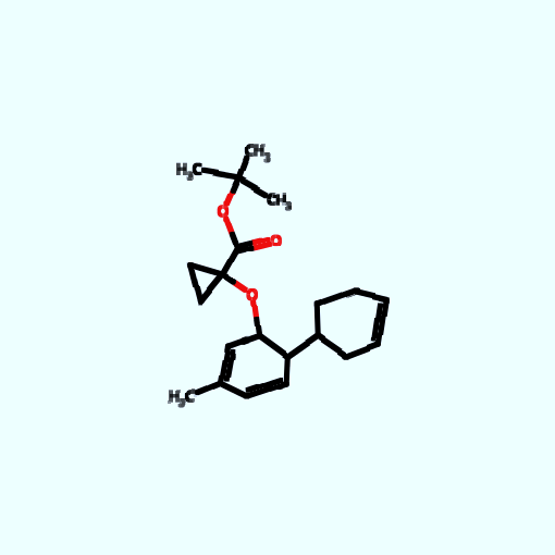 CC1=CC(OC2(C(=O)OC(C)(C)C)CC2)C(C2CC=CCC2)C=C1